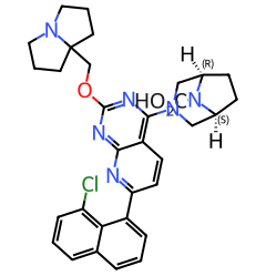 O=C(O)N1[C@@H]2CC[C@H]1CN(c1nc(OCC34CCCN3CCC4)nc3nc(-c4cccc5cccc(Cl)c45)ccc13)C2